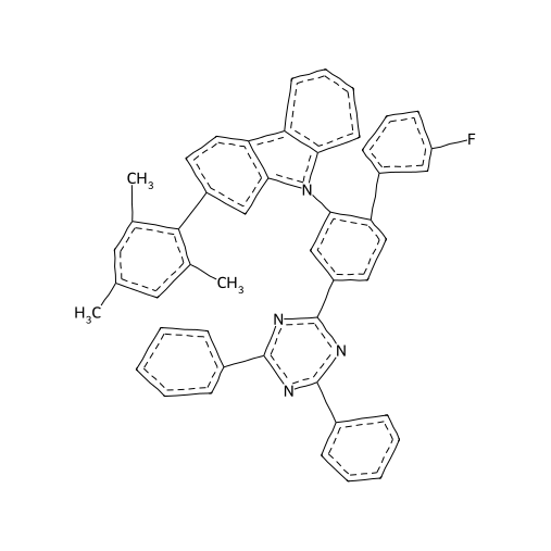 Cc1cc(C)c(-c2ccc3c4ccccc4n(-c4cc(-c5nc(-c6ccccc6)nc(-c6ccccc6)n5)ccc4-c4cccc(F)c4)c3c2)c(C)c1